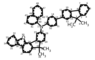 CC1(C)c2ccccc2-c2ccc(-c3ccc(N(c4ccc5c(c4)-c4c(ccc6c4oc4ccccc46)C5(C)C)c4cccc5ccccc45)cc3)cc21